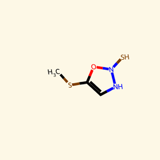 CSC1=CNN(S)O1